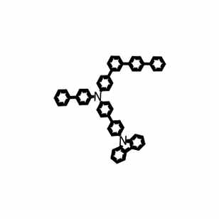 c1ccc(-c2ccc(-c3cccc(-c4ccc(N(c5ccc(-c6ccccc6)cc5)c5ccc(-c6ccc(-n7c8ccccc8c8ccccc87)cc6)cc5)cc4)c3)cc2)cc1